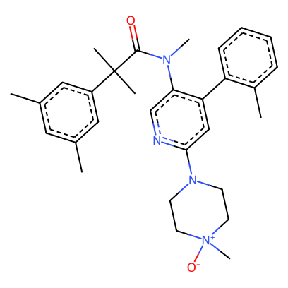 Cc1cc(C)cc(C(C)(C)C(=O)N(C)c2cnc(N3CC[N+](C)([O-])CC3)cc2-c2ccccc2C)c1